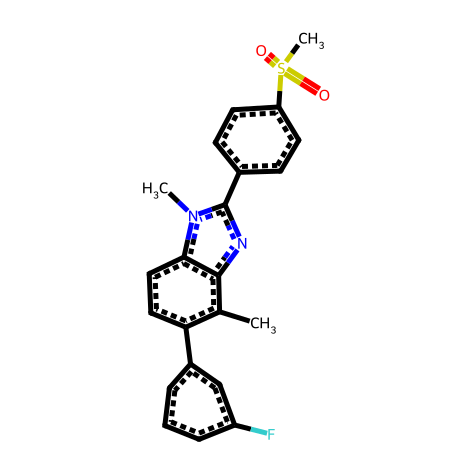 Cc1c(-c2cccc(F)c2)ccc2c1nc(-c1ccc(S(C)(=O)=O)cc1)n2C